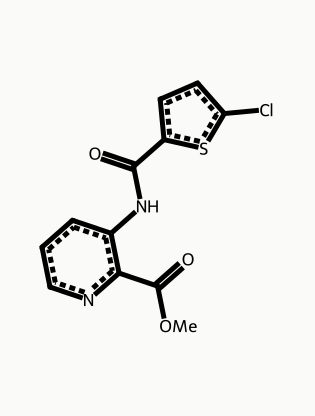 COC(=O)c1ncccc1NC(=O)c1ccc(Cl)s1